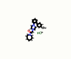 CC(C)(C)C1CCC(c2ccccc2N2CCN(CC(=O)N3CCCCCCC3)CC2)CC1.Cl